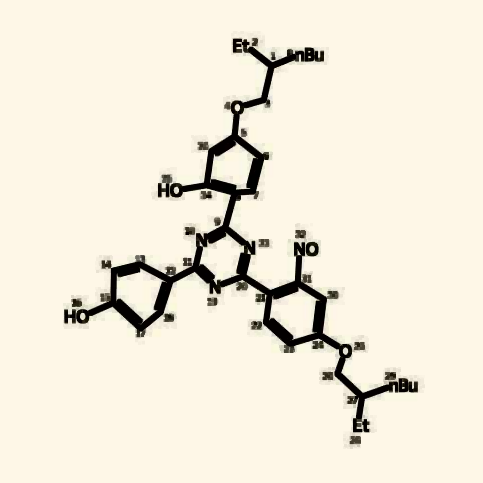 CCCCC(CC)COc1ccc(-c2nc(-c3ccc(O)cc3)nc(-c3ccc(OCC(CC)CCCC)cc3N=O)n2)c(O)c1